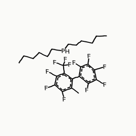 CCCCCCPCCCCCC.Cc1c(F)c(F)c(F)c(C(F)(F)F)c1-c1c(F)c(F)c(F)c(F)c1F